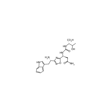 CC(O)[C@H](NC(=O)N[C@@H](CC(N)=O)c1nc([C@@H](N)Cc2c[nH]c3ccccc23)no1)C(=O)O